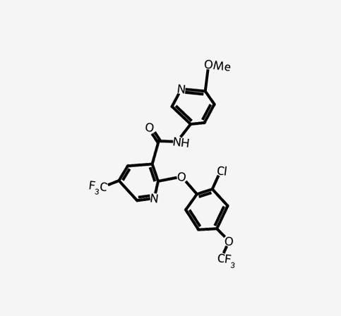 COc1ccc(NC(=O)c2cc(C(F)(F)F)cnc2Oc2ccc(OC(F)(F)F)cc2Cl)cn1